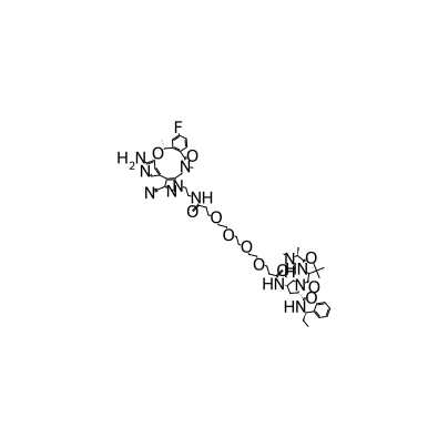 CC[C@@H](NC(=O)[C@@H]1C[C@H](NC(=O)CCOCCOCCOCCOCCC(=O)NCCn2nc(C#N)c3c2CN(C)C(=O)c2ccc(F)cc2[C@@H](C)Oc2cc-3cnc2N)CN1C(=O)[C@@H](NC(=O)[C@H](C)NC)C(C)(C)C)c1ccccc1